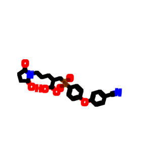 N#Cc1ccc(Oc2ccc(S(=O)(=O)CC(CCCN3C(=O)CCC3=O)C(=O)O)cc2)cc1